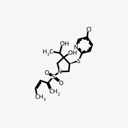 C=C(/C=C\C)S(=O)(=O)N1C[C@H](Sc2ccc(Cl)cn2)C(O)(C(C)O)C1